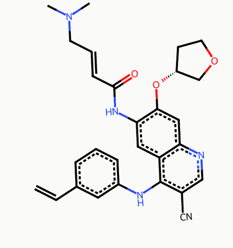 C=Cc1cccc(Nc2c(C#N)cnc3cc(O[C@@H]4CCOC4)c(NC(=O)/C=C/CN(C)C)cc23)c1